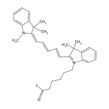 CN1/C(=C/C=C/C=C/C2=[N+](CCCCCC(=O)I)c3ccccc3C2(C)C)C(C)(C)c2ccccc21